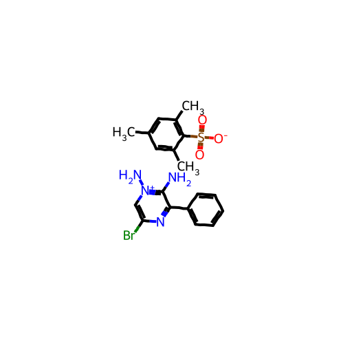 Cc1cc(C)c(S(=O)(=O)[O-])c(C)c1.Nc1c(-c2ccccc2)nc(Br)c[n+]1N